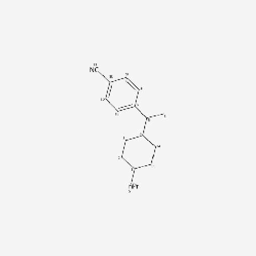 CCCC1CCC(C(C)c2ccc(C#N)cc2)CC1